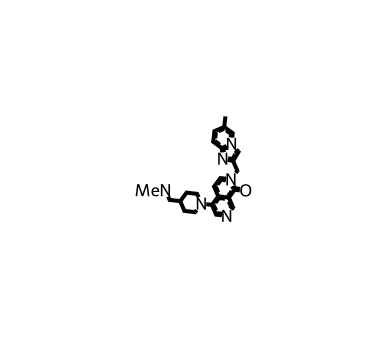 CNCC1CCN(c2cncc3c(=O)n(Cc4cn5cc(C)ccc5n4)ccc23)CC1